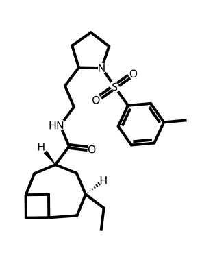 CC[C@H]1CC2CC(C2)C[C@H](C(=O)NCCC2CCCN2S(=O)(=O)c2cccc(C)c2)C1